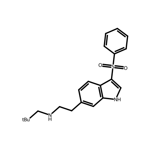 CC(C)(C)CNCCc1ccc2c(S(=O)(=O)c3ccccc3)c[nH]c2c1